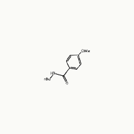 CCCCNC(=O)c1ccc(OC)cc1